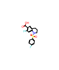 O=C(O)c1cc2c(cc1F)N(S(=O)(=O)c1ccc(F)cc1)CCC2